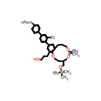 CCCCCc1ccc(-c2ccc(-c3cc(CCCO)c4c(c3)CCCO[Si](C)(C(C)(C)C)OCC(CO[Si](C)(C)C(C)(C)C)CCO4)c(CC)c2)cc1